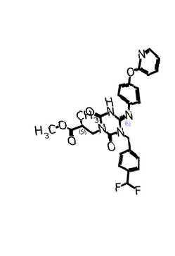 COC(=O)[C@@H](C)Cn1c(=O)[nH]/c(=N\c2ccc(Oc3ccccn3)cc2)n(Cc2ccc(C(F)F)cc2)c1=O